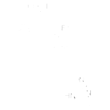 O=C(O)CC1CC1c1ccc(OCCCNC2=NCCN2)c(F)c1